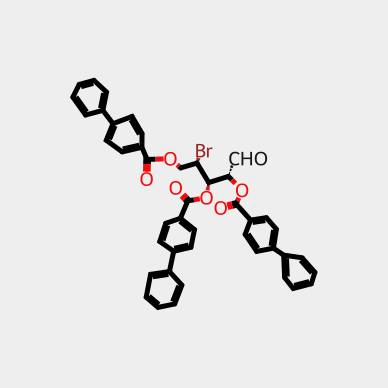 O=C[C@H](OC(=O)c1ccc(-c2ccccc2)cc1)[C@@H](OC(=O)c1ccc(-c2ccccc2)cc1)[C@H](Br)COC(=O)c1ccc(-c2ccccc2)cc1